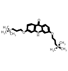 C[N+](C)(C)CCCOc1ccc2c(=O)c3ccc(OCCC[N+](C)(C)C)cc3[nH]c2c1